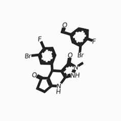 Cn1[nH]c2c(c1=O)C(c1ccc(F)c(Br)c1)C1=C(CCC1=O)N2.O=Cc1ccc(F)c(Br)c1